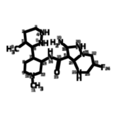 CC1CCNNC1C1CCN(C)CC1NC(=O)C1C(N)NN2CC(F)CNC12